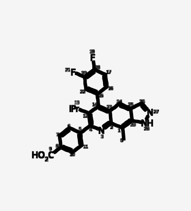 Cc1c2nc(-c3ccc(C(=O)O)cc3)c(C(C)C)c(-c3ccc(F)c(F)c3)c2cc2cn[nH]c12